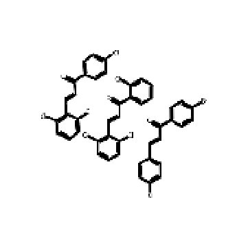 O=C(C=Cc1c(Cl)cccc1Cl)c1ccc(Cl)cc1.O=C(C=Cc1c(Cl)cccc1Cl)c1ccccc1Cl.O=C(C=Cc1ccc(Cl)cc1)c1ccc(Br)cc1